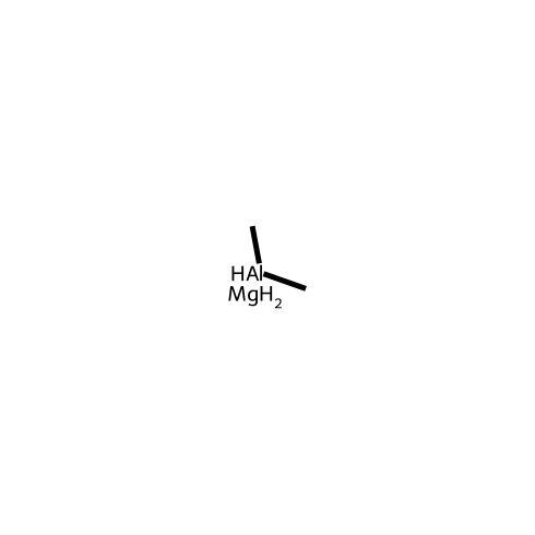 [CH3][AlH][CH3].[MgH2]